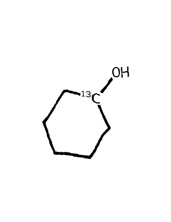 O[13CH]1CCCCC1